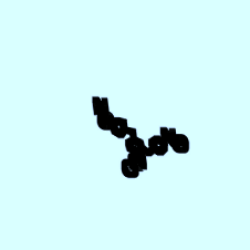 N#COc1ccc(Cc2ccc(N=C=O)c(Cc3ccc(N=C=O)cc3)c2)cc1